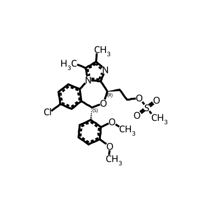 COc1cccc([C@H]2O[C@H](CCOS(C)(=O)=O)c3nc(C)c(C)n3-c3ccc(Cl)cc32)c1OC